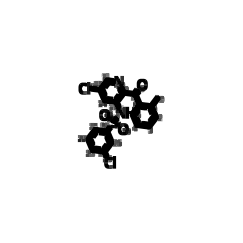 Cc1ccccc1C(=O)c1ncc(Cl)cc1NS(=O)(=O)c1cccc(Cl)c1